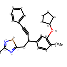 COc1ccc(C(C#Cc2ccccc2)Cc2nc(C)ns2)cc1OC1CCCC1